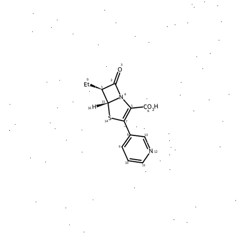 CC[C@H]1C(=O)N2C(C(=O)O)=C(c3cccnc3)S[C@H]12